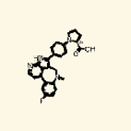 CN1Cc2c(C3=CCC(N4CCC[C@H]4C(=O)O)CC3)[nH]c3nccc(c23)-c2cc(F)ccc21